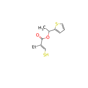 CCC(=CS)C(=O)OC(C)c1cccs1